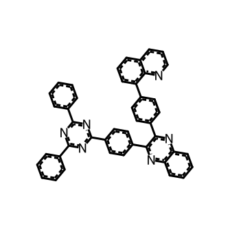 c1ccc(-c2nc(-c3ccccc3)nc(-c3ccc(-c4nc5ccccc5nc4-c4ccc(-c5cccc6cccnc56)cc4)cc3)n2)cc1